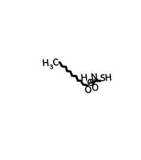 CCCCCCCCCCCC(=O)OC(=O)[C@@H](N)CS